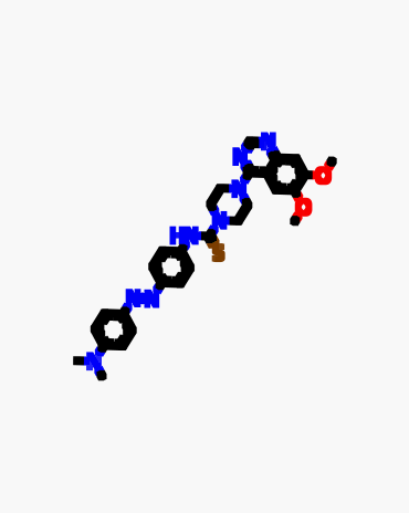 COc1cc2ncnc(N3CCN(C(=S)Nc4ccc(/N=N/c5ccc(N(C)C)cc5)cc4)CC3)c2cc1OC